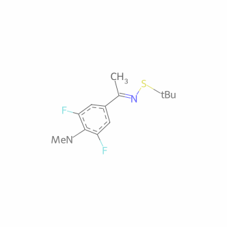 CNc1c(F)cc(/C(C)=N/SC(C)(C)C)cc1F